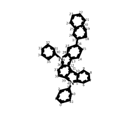 c1ccc(-n2c3ccccc3c3c4c5ccc(-c6ccc7ccccc7c6)cc5n(-c5ccccc5)c4ccc32)cc1